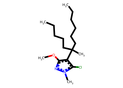 CCCCCCC(C)(CCCCC)c1c(OC)nn(C)c1Cl